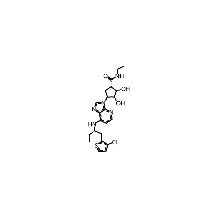 CCNC(=O)[C@H]1CC(n2cnc3c(N[C@H](CC)Cc4sccc4Cl)ccnc32)[C@H](O)[C@@H]1O